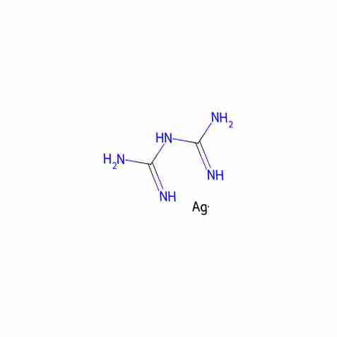 N=C(N)NC(=N)N.[Ag]